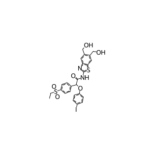 CCS(=O)(=O)c1ccc(C(Oc2ccc(I)cc2)C(=O)Nc2nc3cc(CO)c(CO)cc3s2)cc1